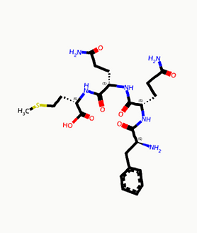 CSCC[C@H](NC(=O)[C@H](CCC(N)=O)NC(=O)[C@H](CCC(N)=O)NC(=O)[C@@H](N)Cc1ccccc1)C(=O)O